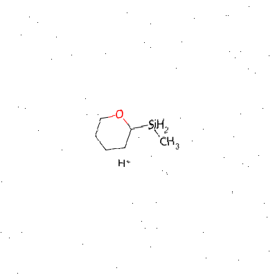 C[SiH2]C1CCCCO1.[H+]